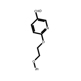 CC(C)OCCOc1ccc(C=O)cn1